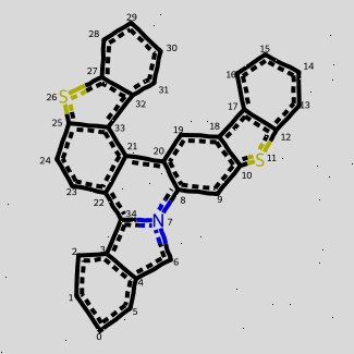 c1ccc2c(c1)cn1c3cc4sc5ccccc5c4cc3c3c(ccc4sc5ccccc5c43)c21